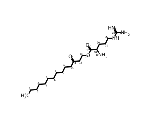 CCCCCCCCCCCC(=O)CCOC(=O)C(N)CCCNC(=N)N